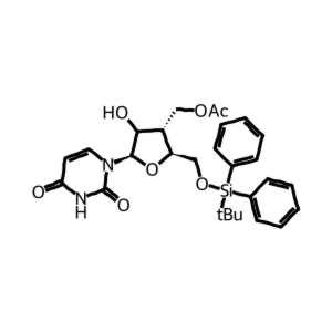 CC(=O)OC[C@H]1C(O)[C@H](n2ccc(=O)[nH]c2=O)O[C@@H]1CO[Si](c1ccccc1)(c1ccccc1)C(C)(C)C